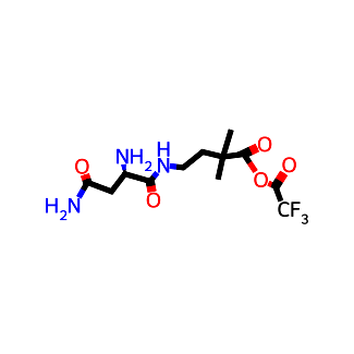 CC(C)(CCNC(=O)[C@H](N)CC(N)=O)C(=O)OC(=O)C(F)(F)F